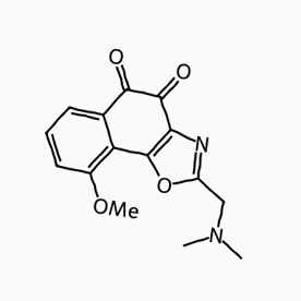 COc1cccc2c1-c1oc(CN(C)C)nc1C(=O)C2=O